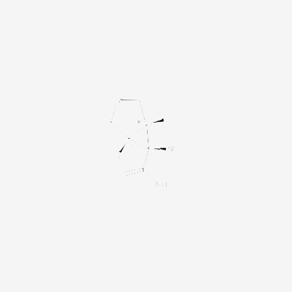 NC(=O)[C@]1(N)[C@@H]2CNC[C@@H]21